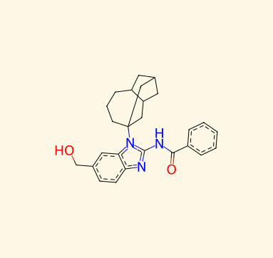 O=C(Nc1nc2ccc(CO)cc2n1C12CCCC3CC(CC3C1)C2)c1ccccc1